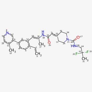 C=Cc1ccc(-c2cnccc2C)cc1/C=C(\C)NC(=O)C=C1CCN(C(=O)NCC(C)(F)F)CC1